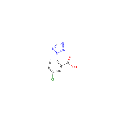 O=C(O)c1cc(Cl)ccc1-n1ncnn1